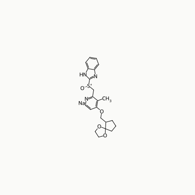 Cc1c(OCC2CCCC23OCCO3)ccnc1C[S+]([O-])c1nc2ccccc2[nH]1.[Na]